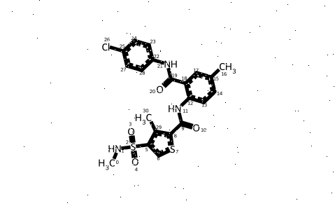 CNS(=O)(=O)c1csc(C(=O)Nc2ccc(C)cc2C(=O)Nc2ccc(Cl)cc2)c1C